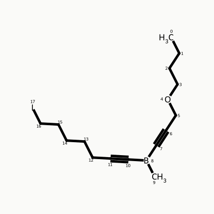 CCCCOCC#CB(C)C#CCCCCCI